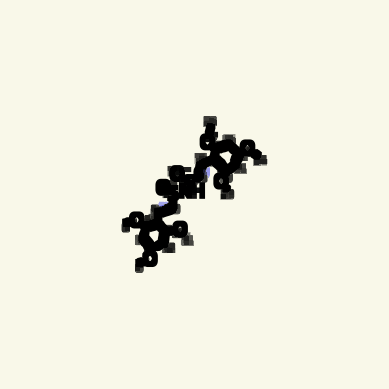 COc1cc(OC)c(/C=C/[S+]([O-])N[S+]([O-])/C=C/c2c(OC)cc(OC)cc2OC)c(OC)c1